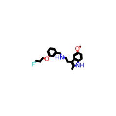 COc1ccc2[nH]c(C)c(CCNCc3cccc(OCCCF)c3)c2c1